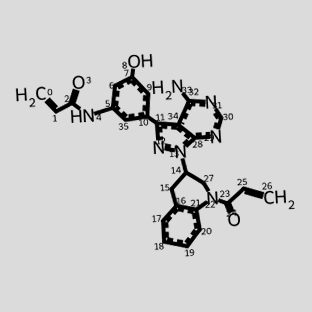 C=CC(=O)Nc1cc(O)cc(-c2nn(C3Cc4ccccc4N(C(=O)C=C)C3)c3ncnc(N)c23)c1